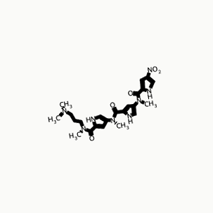 CN(C)CCCN(C)C(=O)c1cc(N(C)C(=O)c2cc(N(C)C(=O)c3cc([N+](=O)[O-])c[nH]3)c[nH]2)c[nH]1